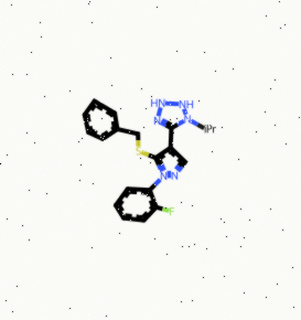 CC(C)N1NNN=C1c1cnn(-c2ccccc2F)c1SCc1ccccc1